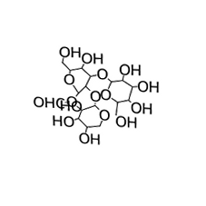 O=COC1OC(CO)C(O)C(OC2OC(CO)C(O)C(O)C2O)C1O[C@@H]1OCC(O)C(O)C1O